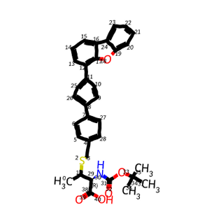 CC(SCc1ccc(-c2ccc(-c3cccc4c3oc3ccccc34)cc2)cc1)[C@H](NC(=O)OC(C)(C)C)C(=O)O